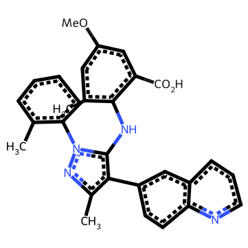 COc1cc(C)c(Nc2c(-c3ccc4ncccc4c3)c(C)nn2-c2ccccc2C)c(C(=O)O)c1